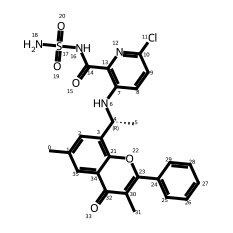 Cc1cc([C@@H](C)Nc2ccc(Cl)nc2C(=O)NS(N)(=O)=O)c2oc(-c3ccccc3)c(C)c(=O)c2c1